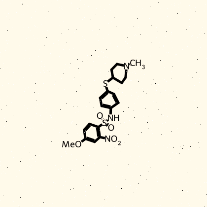 COc1ccc(S(=O)(=O)Nc2ccc(SC3CCN(C)CC3)cc2)c([N+](=O)[O-])c1